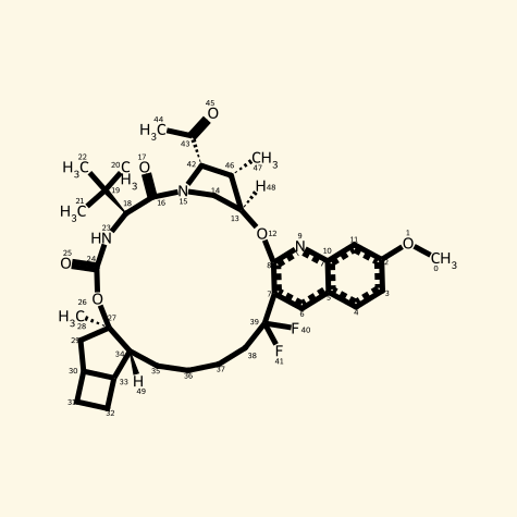 COc1ccc2cc3c(nc2c1)O[C@H]1CN(C(=O)[C@H](C(C)(C)C)NC(=O)O[C@]2(C)CC4CCC4[C@H]2CCCCC3(F)F)[C@H](C(C)=O)[C@@H]1C